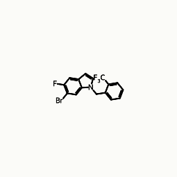 Fc1cc2ccn(Cc3ccccc3C(F)(F)F)c2cc1Br